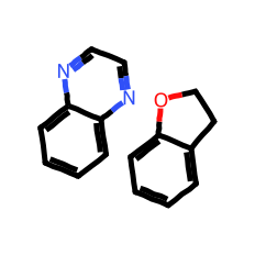 c1ccc2c(c1)CCO2.c1ccc2nccnc2c1